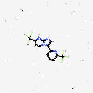 FC(F)(F)c1cccc(-c2cnc3nc(C(F)(F)F)ccn23)n1